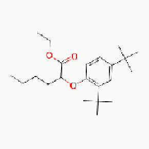 CCCCC(Oc1ccc(C(C)(C)C)cc1C(C)(C)C)C(=O)OCC